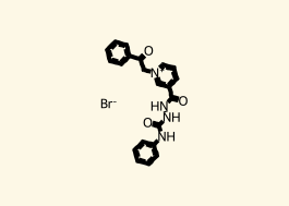 O=C(NNC(=O)c1ccc[n+](CC(=O)c2ccccc2)c1)Nc1ccccc1.[Br-]